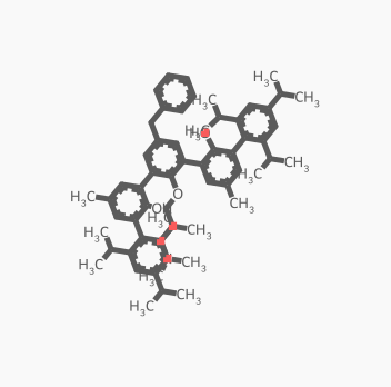 Cc1cc(-c2cc(Cc3ccccc3)cc(-c3cc(C)cc(-c4c(C(C)C)cc(C(C)C)cc4C(C)C)c3O)c2OCCCN(C)C)c(O)c(-c2c(C(C)C)cc(C(C)C)cc2C(C)C)c1